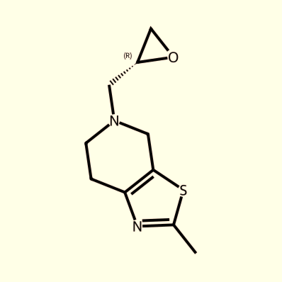 Cc1nc2c(s1)CN(C[C@@H]1CO1)CC2